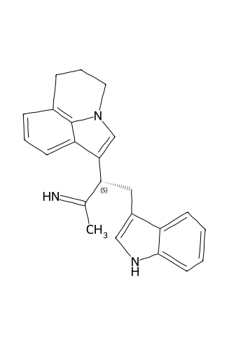 CC(=N)[C@@H](Cc1c[nH]c2ccccc12)c1cn2c3c(cccc13)CCC2